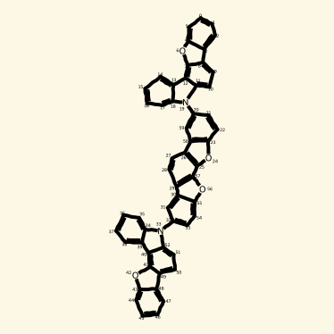 c1ccc2c(c1)oc1c2ccc2c1c1ccccc1n2-c1ccc2oc3c(ccc4c5cc(-n6c7ccccc7c7c8oc9ccccc9c8ccc76)ccc5oc43)c2c1